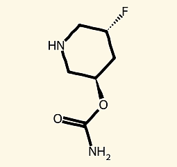 NC(=O)O[C@H]1CNC[C@H](F)C1